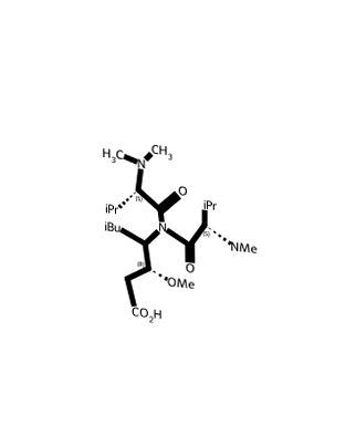 CCC(C)C([C@@H](CC(=O)O)OC)N(C(=O)[C@@H](NC)C(C)C)C(=O)[C@H](C(C)C)N(C)C